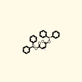 O=C(/C=C\C(=O)O[I+](c1ccccc1)c1ccccc1)O[I+](c1ccccc1)c1ccccc1